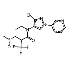 CCN(C(=O)C(C[S+](C)[O-])C(F)(F)F)c1cn(-c2cccnc2)nc1Cl